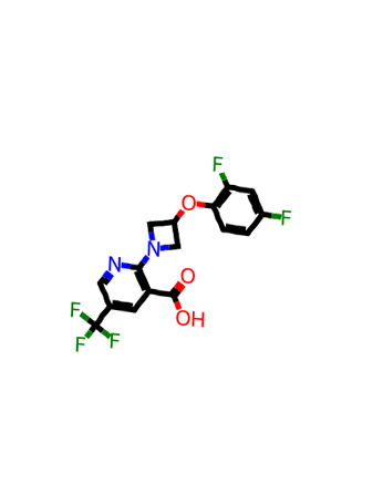 O=C(O)c1cc(C(F)(F)F)cnc1N1CC(Oc2ccc(F)cc2F)C1